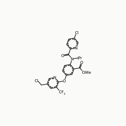 COC(=O)c1cc(Oc2ncc(CCl)cc2C(F)(F)F)ccc1N(C(=O)c1ccc(Cl)cn1)C(C)C